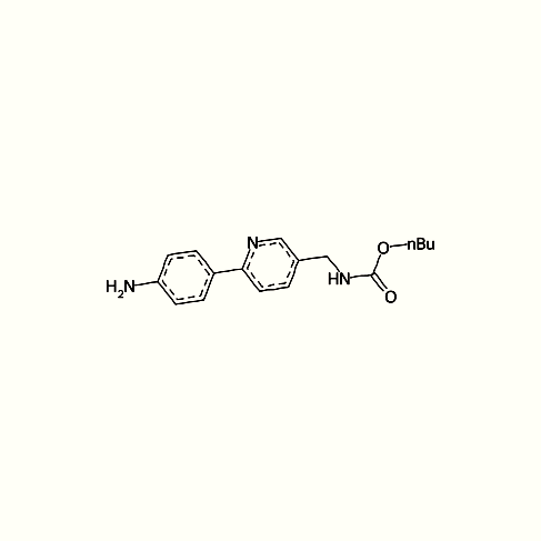 CCCCOC(=O)NCc1ccc(-c2ccc(N)cc2)nc1